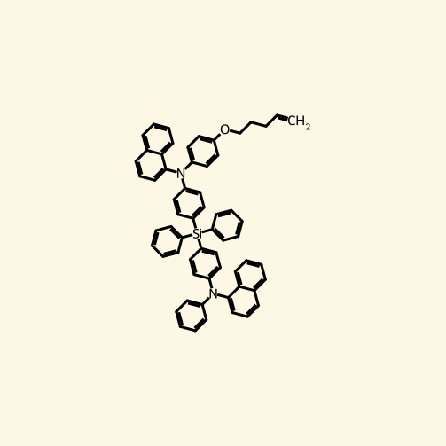 C=CCCCOc1ccc(N(c2ccc([Si](c3ccccc3)(c3ccccc3)c3ccc(N(c4ccccc4)c4cccc5ccccc45)cc3)cc2)c2cccc3ccccc23)cc1